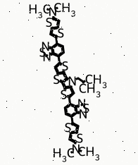 CC(C)Cn1c2cc(-c3ccc(-c4cc5sc(N(C)C)cc5s4)c4nsnc34)sc2c2sc3cc(-c4ccc(-c5cc6sc(N(C)C)cc6s5)c5nsnc45)sc3c21